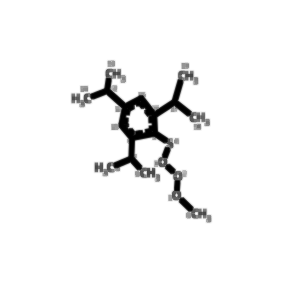 COOOSc1c(C(C)C)cc(C(C)C)cc1C(C)C